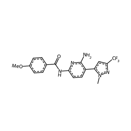 COc1ccc(C(=O)Nc2ccc(-c3cc(C(F)(F)F)nn3C)c(N)n2)cc1